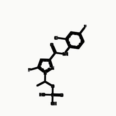 CC(OP(=O)(O)O)n1nc(C(=O)Nc2ccc(F)cc2Cl)cc1F